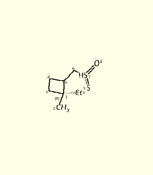 CC[C@]1(C)CCC1C[SH](=O)=S